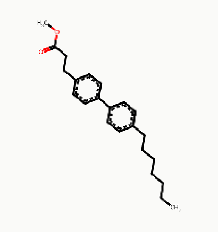 CCCCCCCc1ccc(-c2ccc(CCC(=O)OC)cc2)cc1